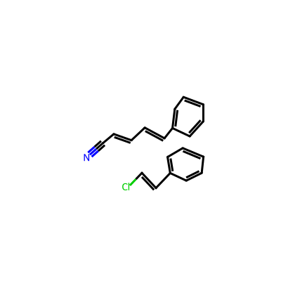 ClC=Cc1ccccc1.N#CC=CC=Cc1ccccc1